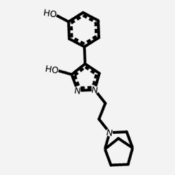 Oc1cccc(-c2cn(CCN3CC4CCC3C4)nc2O)c1